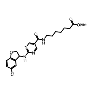 COC(=O)CCCCCCNC(=O)c1cnc(NC2COc3ccc(Cl)cc32)nc1